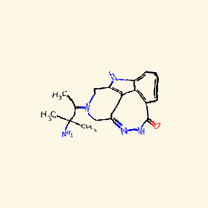 CC(N1CC2=NNC(=O)c3cccc4[nH]c(c2c34)C1)C(C)(C)N